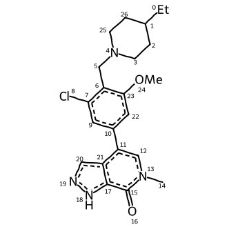 CCC1CCN(Cc2c(Cl)cc(-c3cn(C)c(=O)c4[nH]ncc34)cc2OC)CC1